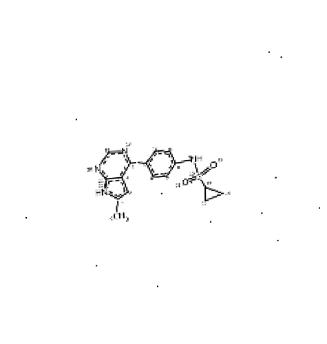 Cc1cc2c(-c3ccc(NS(=O)(=O)C4CC4)cc3)ncnc2[nH]1